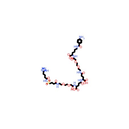 Nc1ccc(C(=O)NCCCCC(NC(=O)COCCOCCNC(=O)CCC(NC(=O)CCC(NC(=O)COCCOCCNC(=O)CCCS(=O)(=O)NC(=O)CCCc2nnn[nH]2)C(=O)O)C(=O)O)C(=O)O)cc1